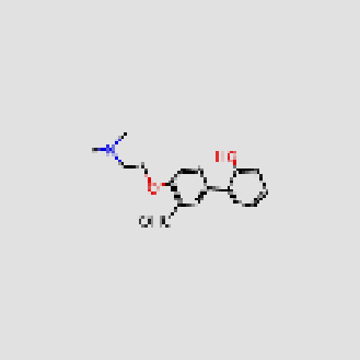 CN(C)CCOc1ccc(-c2ccccc2O)cc1C=O